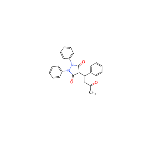 CC(=O)CC(c1ccccc1)C1C(=O)N(c2ccccc2)N(c2ccccc2)C1=O